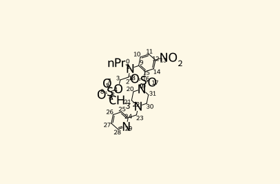 CCCN(CCOS(C)(=O)=O)c1ccc([N+](=O)[O-])cc1S(=O)(=O)N1CCN(Cc2ccccn2)CC1